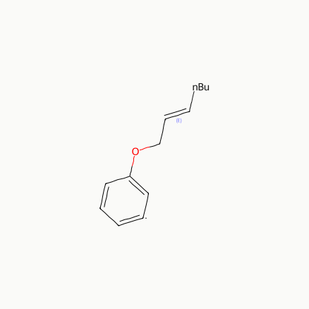 CCCC/C=C/COc1c[c]ccc1